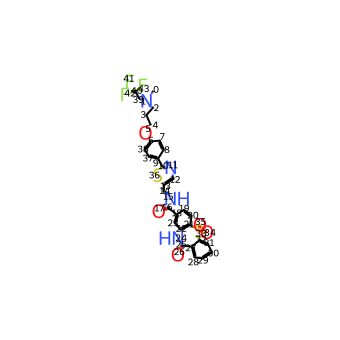 CN(CCCOc1ccc(-c2ncc(CNC(=O)c3ccc4c(c3)NC(=O)c3ccccc3S4(=O)=O)s2)cc1)CC(F)(F)F